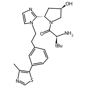 Cc1ncsc1-c1cccc(CCn2ccnc2[C@@H]2C[C@@H](O)CN2C(=O)[C@@H](N)C(C)(C)C)c1